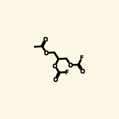 CC(=O)OCC(COC(=O)F)OC(=O)F